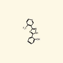 Oc1ccccc1-c1nc(-c2cnccc2C(F)(F)F)n[nH]1